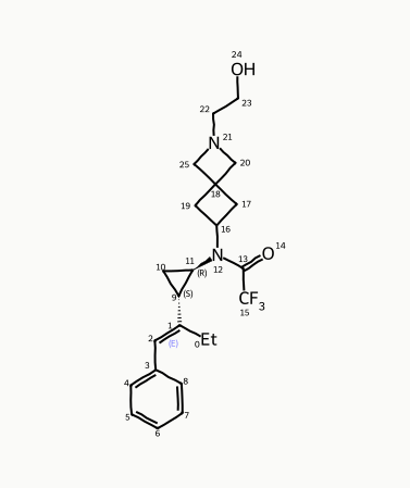 CC/C(=C\c1ccccc1)[C@@H]1C[C@H]1N(C(=O)C(F)(F)F)C1CC2(C1)CN(CCO)C2